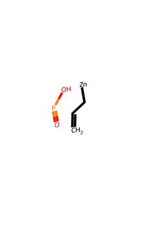 C=C[CH2][Zn].O=PO